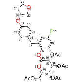 CC(=O)OC[C@H]1O[C@@H](Oc2ccc(F)cc2Cc2ccc(O[C@@H]3CCOC3)cc2)[C@H](OC(C)=O)[C@@H](OC(C)=O)[C@@H]1OC(C)=O